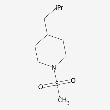 CC(C)CC1CCN(S(C)(=O)=O)CC1